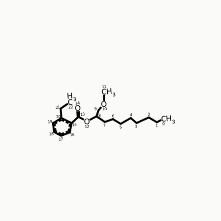 CCCCCCCCC(COC)OC(=O)c1ccccc1CC